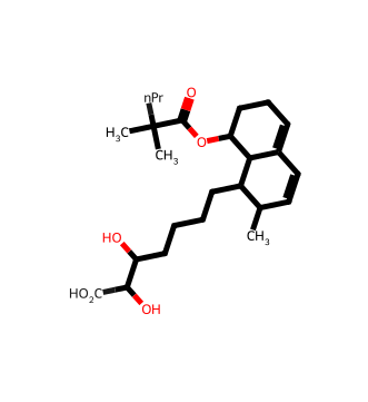 CCCC(C)(C)C(=O)OC1CCC=C2C=CC(C)C(CCCCC(O)C(O)C(=O)O)C21